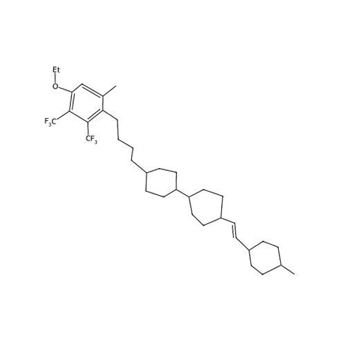 CCOc1cc(C)c(CCCCC2CCC(C3CCC(/C=C/C4CCC(C)CC4)CC3)CC2)c(C(F)(F)F)c1C(F)(F)F